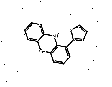 c1csc(-c2cccc3c2Nc2ccccc2O3)c1